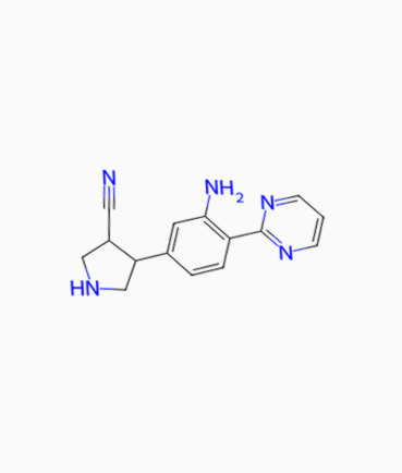 N#CC1CNCC1c1ccc(-c2ncccn2)c(N)c1